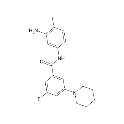 Cc1ccc(NC(=O)c2cc(F)cc(N3CCCCC3)c2)cc1N